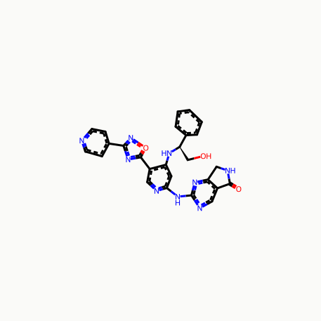 O=C1NCc2nc(Nc3cc(N[C@H](CO)c4ccccc4)c(-c4nc(-c5ccncc5)no4)cn3)ncc21